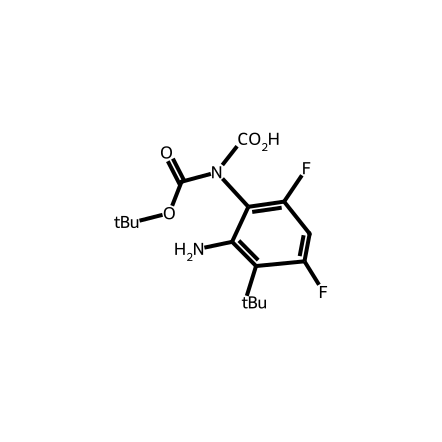 CC(C)(C)OC(=O)N(C(=O)O)c1c(F)cc(F)c(C(C)(C)C)c1N